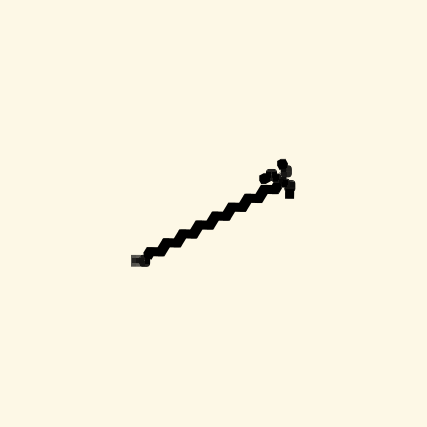 CO[Si](CCCCCCCCCCCCCCCCO)(OC)OC